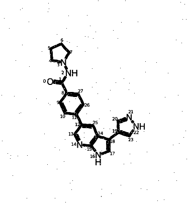 O=C(NN1CCCC1)c1ccc(-c2cnc3[nH]cc(-c4cn[nH]c4)c3c2)cc1